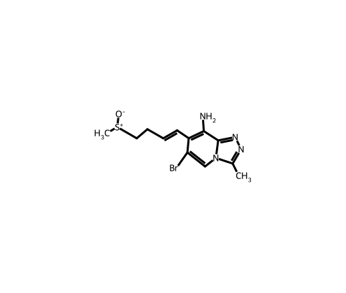 Cc1nnc2c(N)c(/C=C/CC[S+](C)[O-])c(Br)cn12